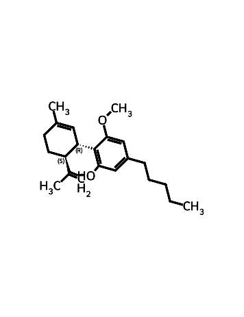 C=C(C)[C@H]1CCC(C)=C[C@@H]1c1c(O)cc(CCCCC)cc1OC